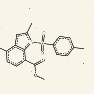 COC(=O)c1ccc(C)c2cc(C)n(S(=O)(=O)c3ccc(C)cc3)c12